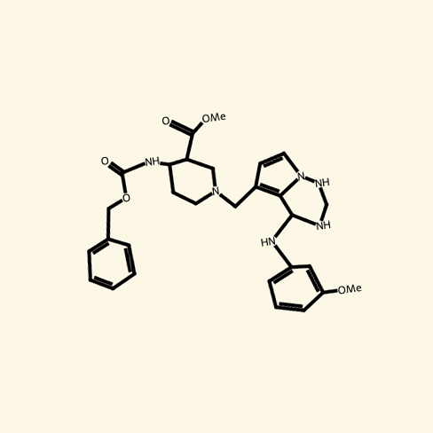 COC(=O)C1CN(Cc2ccn3c2C(Nc2cccc(OC)c2)NCN3)CCC1NC(=O)OCc1ccccc1